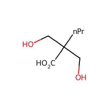 CCCC(CO)(CO)C(=O)O